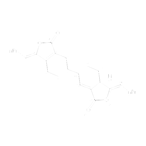 CCC/C=C1\OC(=O)C2=C1CC[C@@H]([C@H]1C=C3C(=O)O/C(=C\CCC)[C@@H]3CC1)C2